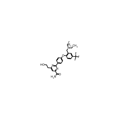 CCN(CC)Cc1cc(C(F)(F)F)ccc1Oc1ccc(-c2nc(CCO)cc(C(N)=O)n2)cc1